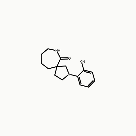 N#Cc1ccccc1N1CCC2(CCCCNC2=O)C1